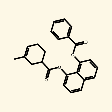 CC1=CCCC(C(=O)Oc2cccc3cccc(OC(=O)c4ccccc4)c23)C1